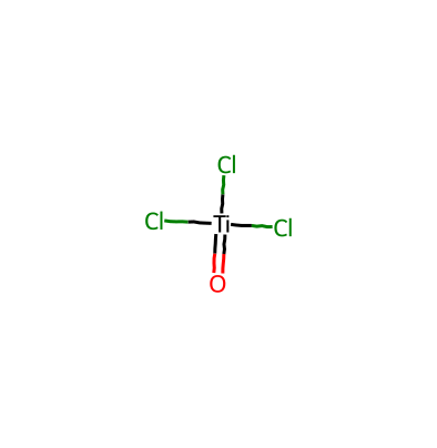 [O]=[Ti]([Cl])([Cl])[Cl]